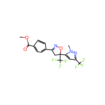 COC(=O)c1ccc(C2=NOC(c3cc(C(F)(F)F)nn3C)(C(F)(F)F)C2)cc1